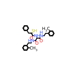 Cc1ccccc1CCNC(=O)C(NC(=O)[C@@H](S)Cc1ccccc1)C(=O)NCCc1ccccc1C